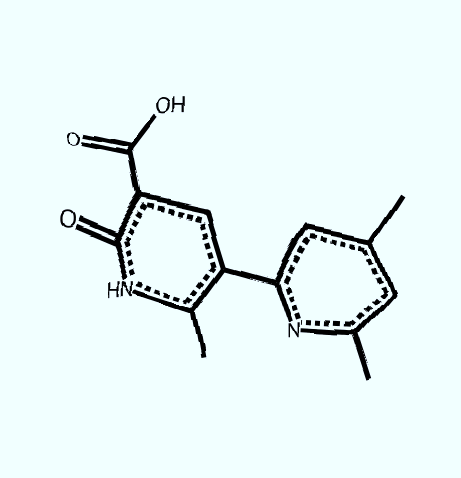 Cc1cc(C)nc(-c2cc(C(=O)O)c(=O)[nH]c2C)c1